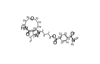 CCc1nn(CCCCOC(=O)c2ccc(C(=O)N(C)C)cc2)c2c1C(=O)NCCCOCCC2